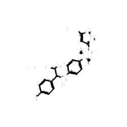 Cc1cc(NS(=O)(=O)c2ccc(NC(c3ccc(Cl)cc3)C(C(=O)O)C(=O)O)cc2)no1